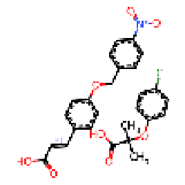 CC(C)(Oc1ccc(Cl)cc1)C(=O)O.O=C(O)/C=C/c1ccc(OCc2ccc([N+](=O)[O-])cc2)cc1